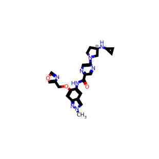 Cn1cc2cc(NC(=O)c3cnc(N4CC[C@@H](NC5CC5)C4)cn3)c(OCc3cocn3)cc2n1